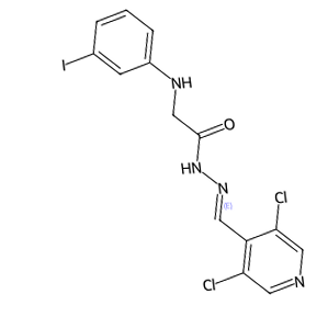 O=C(CNc1cccc(I)c1)N/N=C/c1c(Cl)cncc1Cl